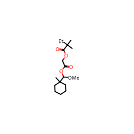 CCC(C)(C)C(=O)OCC(=O)OC(OC)C1(C)CCCCC1